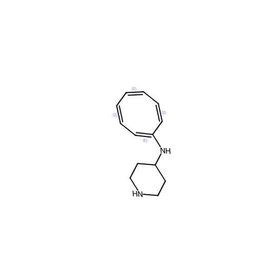 C1=C\C=C/C(NC2CCNCC2)=C\C=C/1